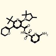 CC1CN(c2nc(C(C)(C)C)c(C3=CCCCO3)cc2C(=O)NS(=O)(=O)c2cccc(N)n2)C(C)(C)C1